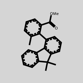 COC(=O)c1cccc(C)c1-c1cccc2c1-c1ccccc1C2(C)C